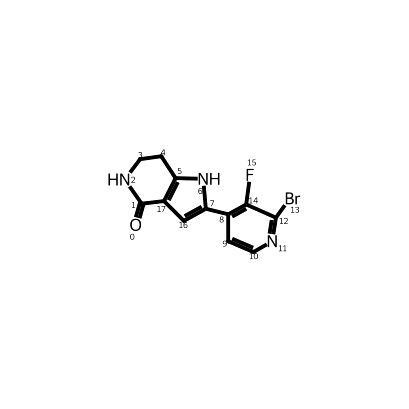 O=C1NCCc2[nH]c(-c3ccnc(Br)c3F)cc21